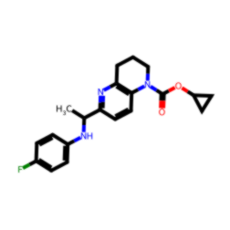 CC(Nc1ccc(F)cc1)c1ccc2c(n1)CCCN2C(=O)OC1CC1